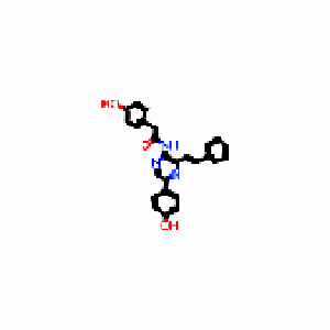 O=C(Cc1ccc(O)cc1)Nc1ncc(-c2ccc(O)cc2)nc1C=Cc1ccccc1